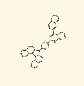 c1ccc2cc(-c3nc(-c4ccc(-n5c6ccc7ccccc7c6c6c7ccccc7ccc65)cc4)nc4ccccc34)ccc2c1